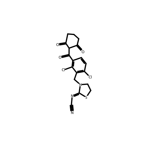 N#C/N=C1\SCCN1Cc1c(Cl)ccc(C(=O)C2C(=O)CCCC2=O)c1Cl